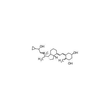 C=C1C(=CC=C2CCC[C@]3(C)[C@@H]([C@@H](C)C=CC(O)C4CC4)CC[C@@H]23)C[C@@H](O)C[C@@H]1O